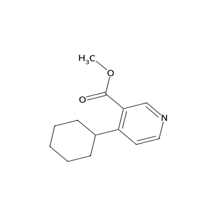 COC(=O)c1cnccc1C1CCCCC1